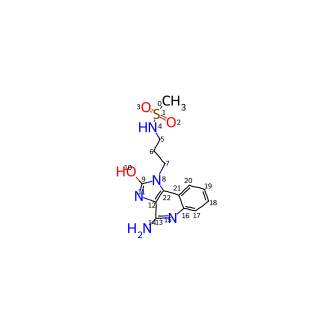 CS(=O)(=O)NCCCn1c(O)nc2c(N)nc3ccccc3c21